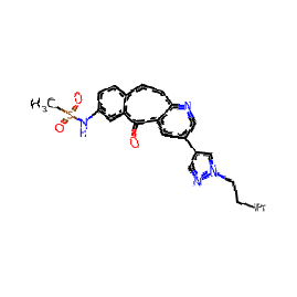 CC(C)CCn1cc(-c2cnc3ccc4ccc(NS(C)(=O)=O)cc4c(=O)c3c2)cn1